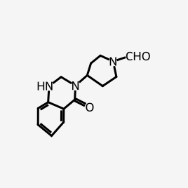 O=CN1CCC(N2CNc3ccccc3C2=O)CC1